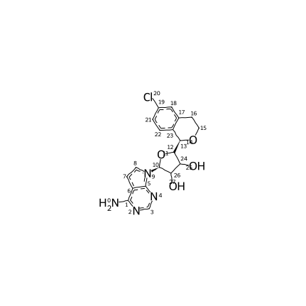 Nc1ncnc2c1ccn2[C@H]1OC([C@@H]2OCCc3cc(Cl)ccc32)C(O)C1O